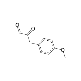 COc1ccc(CC(=O)C=O)cc1